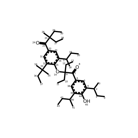 CCC(C)c1cc(C(=O)C(CC)(CC)Oc2c(C(C)CC)cc(C(=O)C(C)(CC)CC)cc2C(C)(C)CC)cc(C(C)CC)c1O